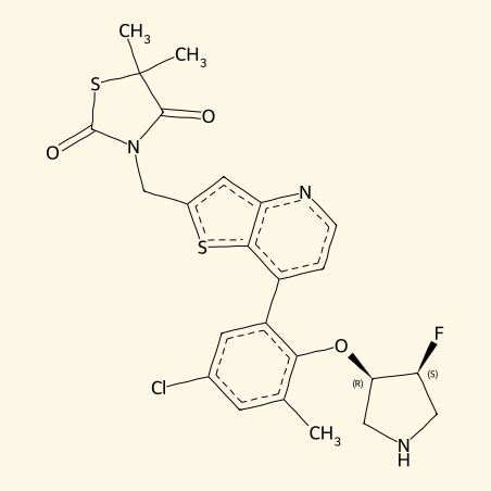 Cc1cc(Cl)cc(-c2ccnc3cc(CN4C(=O)SC(C)(C)C4=O)sc23)c1O[C@@H]1CNC[C@@H]1F